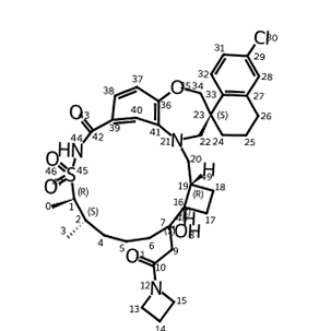 C[C@@H]1[C@@H](C)CCC[C@](O)(CC(=O)N2CCC2)[C@@H]2CC[C@H]2CN2C[C@@]3(CCCc4cc(Cl)ccc43)COc3ccc(cc32)C(=O)NS1(=O)=O